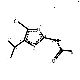 CC(=O)Nc1nc(Cl)c(C(C)C)s1